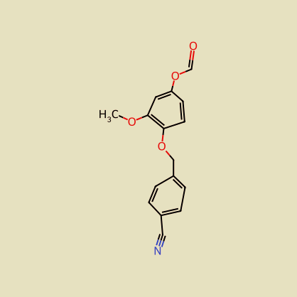 COc1cc(OC=O)ccc1OCc1ccc(C#N)cc1